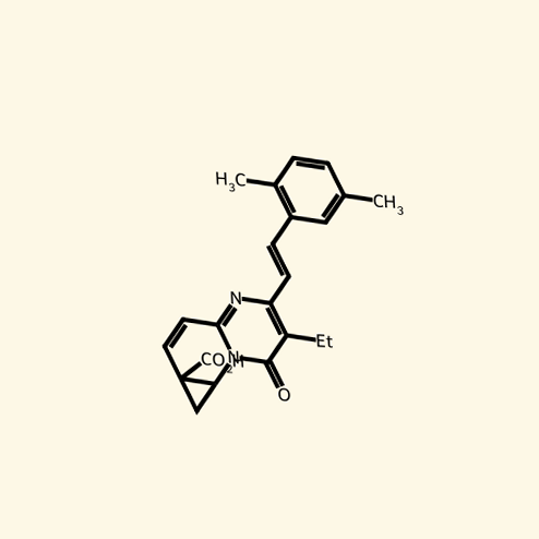 CCc1c(/C=C/c2cc(C)ccc2C)nc2n(c1=O)C1CC1(C(=O)O)C=C2